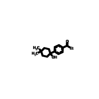 CCC(=O)c1ccc(C2(O)CCC(C)(C)CC2)cc1